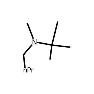 CCCCN(C)C(C)(C)C